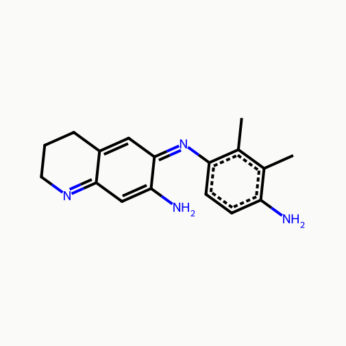 Cc1c(N)ccc(/N=C2/C=C3CCCN=C3C=C2N)c1C